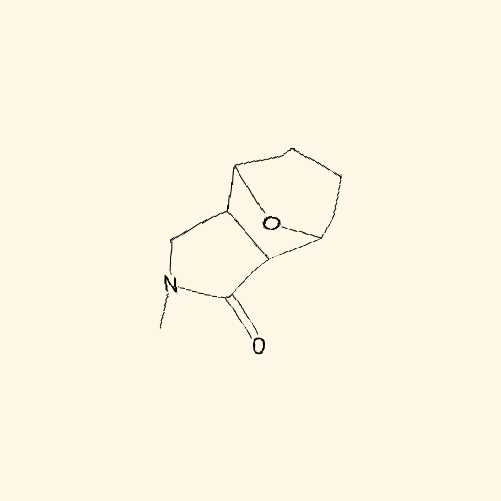 CN1CC2C3CCC(O3)C2C1=O